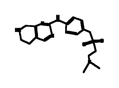 CN(C)CCS(=O)(=O)Cc1ccc(Nc2ncc3c(n2)CNCC3)cc1